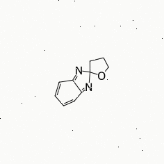 c1ccc2c(c1)=NC1(CCCO1)N=2